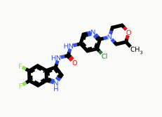 CC1CN(c2ncc(NC(=O)Nc3c[nH]c4cc(F)c(F)cc34)cc2Cl)CCO1